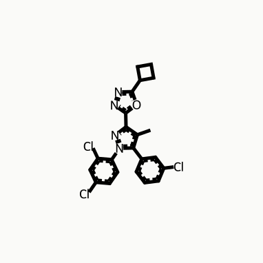 Cc1c(-c2nnc(C3CCC3)o2)nn(-c2ccc(Cl)cc2Cl)c1-c1cccc(Cl)c1